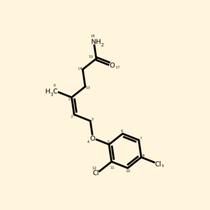 CC(=CCOc1ccc(Cl)cc1Cl)CCC(N)=O